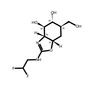 OC[C@H]1C[C@@H]2OC(NCC(F)F)=N[C@@H]2[C@@H](O)[C@@H]1O